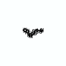 O=S(=O)(c1ccc(-c2cnco2)s1)N1Cc2ncnc(-c3ccc4ccccc4n3)c2C1